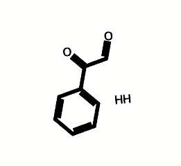 O=CC(=O)c1ccccc1.[HH]